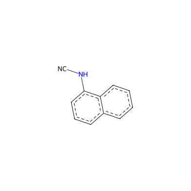 N#CNc1cccc2ccccc12